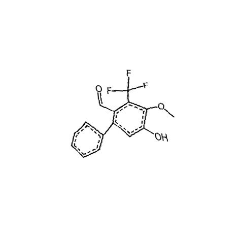 COc1c(O)cc(-c2ccccc2)c(C=O)c1C(F)(F)F